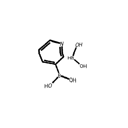 OB(O)c1cccnc1.OBO